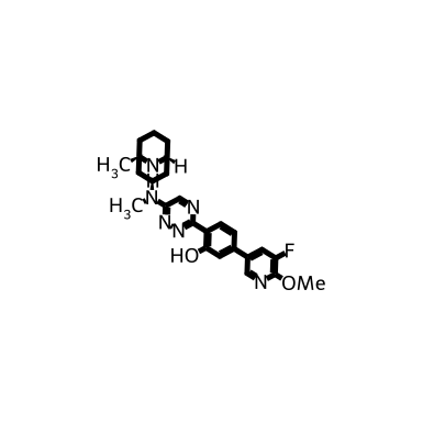 COc1ncc(-c2ccc(-c3ncc(N(C)[C@@H]4C[C@H]5CCC[C@@](C)(C4)N5)nn3)c(O)c2)cc1F